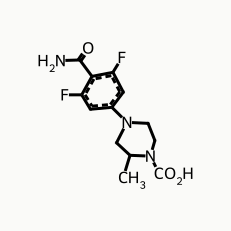 CC1CN(c2cc(F)c(C(N)=O)c(F)c2)CCN1C(=O)O